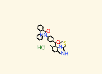 CC1C=CC2=CNC=C3CSCCN3C2C1C(=O)c1ccc(NC(=O)c2ccccc2-c2ccccc2)cc1.Cl